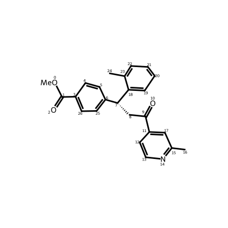 COC(=O)c1ccc([C@@H](CC(=O)c2ccnc(C)c2)c2ccccc2C)cc1